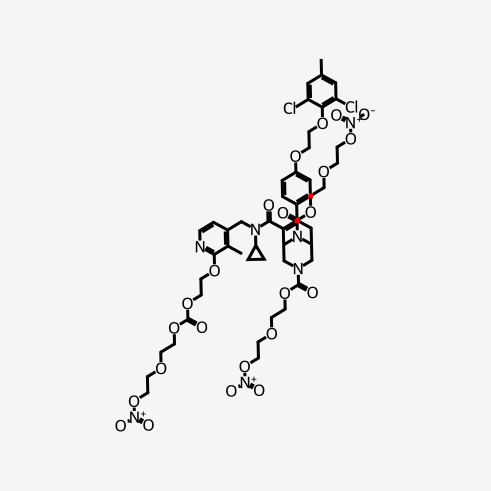 Cc1cc(Cl)c(OCCOc2ccc(C3=C(C(=O)N(Cc4ccnc(OCCOC(=O)OCCOCCO[N+](=O)[O-])c4C)C4CC4)C4CN(C(=O)OCCOCCO[N+](=O)[O-])CC(C3)N4C(=O)OCCOCCO[N+](=O)[O-])cc2)c(Cl)c1